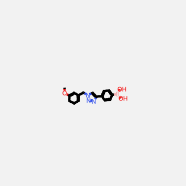 COC1=CC(Cn2cc(-c3ccc(B(O)O)cc3)nn2)=CCC1